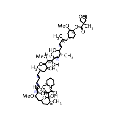 CO[C@@H](CC1CC[C@@H](C)[C@](O)(C(=O)C(=O)N2CCCC[C@H]2C(=O)O)O1)/C(C)=C/C=C/C=C/[C@@H](C)C[C@@H](C)C(=O)[C@H](OC)[C@H](O)/C(C)=C/[C@@H](C)C(O)/C=C/[C@H](C)C[C@@H]1CC[C@@H](OC(=O)C(C)(CO)CO)[C@H](OC)C1